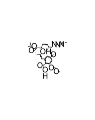 COCOc1cc(OC)cc(/C=C/C[C@@H]2OC(C)(C)OC2C(O)/C=C\[C@H](C)CN=[N+]=[N-])c1C(=O)O